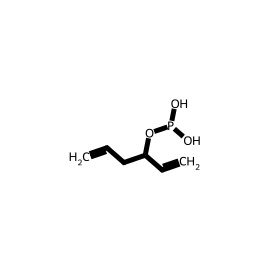 C=CCC(C=C)OP(O)O